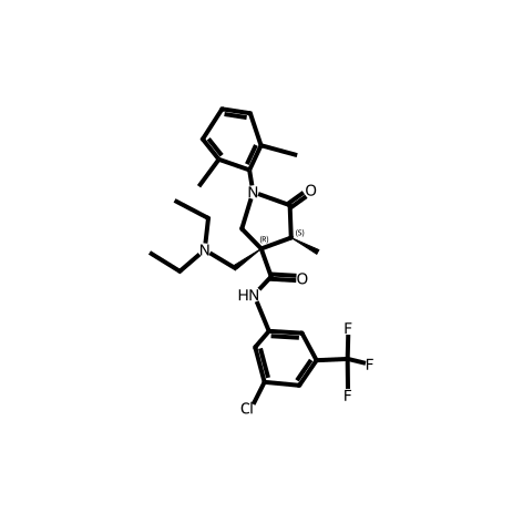 CCN(CC)C[C@@]1(C(=O)Nc2cc(Cl)cc(C(F)(F)F)c2)CN(c2c(C)cccc2C)C(=O)[C@H]1C